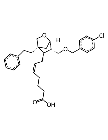 O=C(O)CCC/C=C\C[C@@H]1[C@@H](COCc2ccc(Cl)cc2)[C@H]2C[C@]1(CCc1ccccc1)CO2